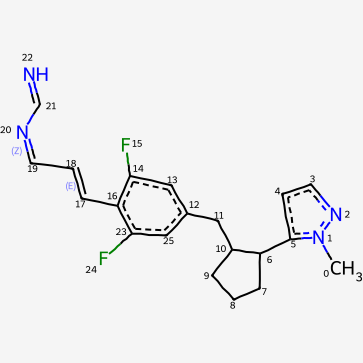 Cn1nccc1C1CCCC1Cc1cc(F)c(/C=C/C=N\C=N)c(F)c1